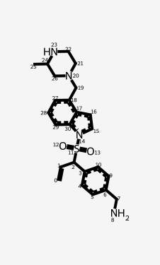 C=CC(c1ccc(CN)cc1)S(=O)(=O)n1ccc2c(CN3CCNC(C)C3)cccc21